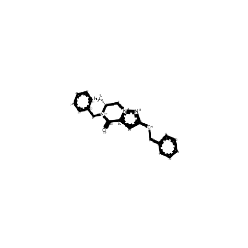 C[C@@H]1Cn2nc(OCc3ccccc3)cc2C(=O)N1Cc1ccccc1